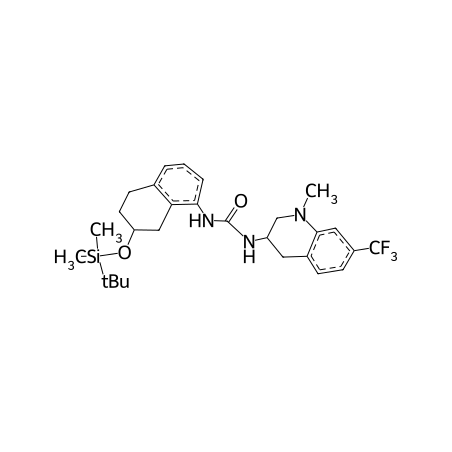 CN1CC(NC(=O)Nc2cccc3c2CC(O[Si](C)(C)C(C)(C)C)CC3)Cc2ccc(C(F)(F)F)cc21